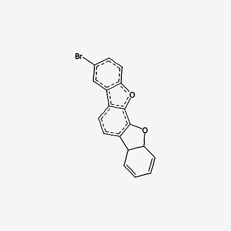 Brc1ccc2oc3c4c(ccc3c2c1)C1C=CC=CC1O4